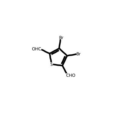 O=Cc1sc(C=O)c(Br)c1Br